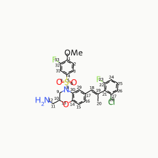 COc1ccc(S(=O)(=O)N2CC(CN)Oc3ccc(C=C(C)c4c(F)cccc4Cl)cc32)cc1F